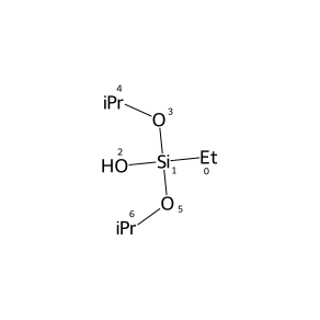 CC[Si](O)(OC(C)C)OC(C)C